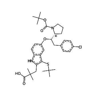 CC(C)(C)OC(=O)N1CCC[C@@H]1C(Cc1ccc(Cl)cc1)Oc1ccc2[nH]c(CC(C)(C)C(=O)O)c(SC(C)(C)C)c2c1